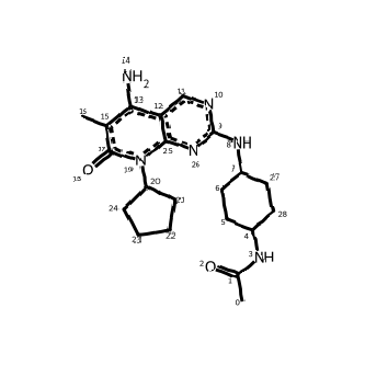 CC(=O)NC1CCC(Nc2ncc3c(N)c(C)c(=O)n(C4CCCC4)c3n2)CC1